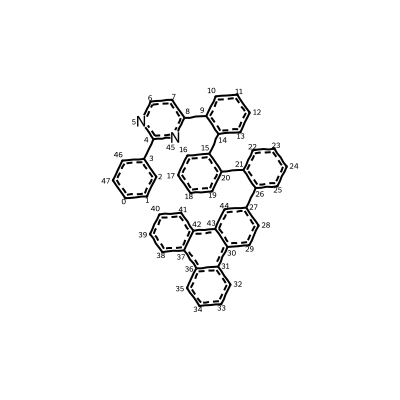 c1ccc(-c2nccc(-c3ccccc3-c3ccccc3-c3ccccc3-c3ccc4c5ccccc5c5ccccc5c4c3)n2)cc1